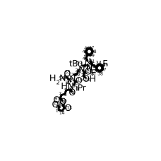 CC(C)[C@H](NC(=O)CCCC(=O)ON1C(=O)CCC1=O)C(=O)N(CCCN(C(=O)CO)[C@@H](c1nc(-c2cc(F)ccc2F)cn1Cc1ccccc1)C(C)(C)C)[C@@H](C)C(N)=O